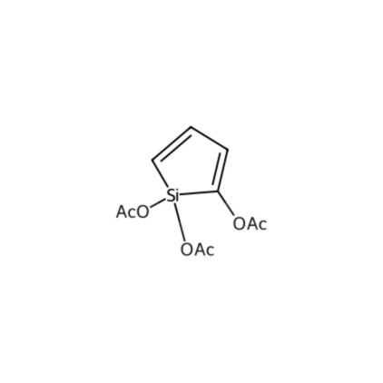 CC(=O)OC1=CC=C[Si]1(OC(C)=O)OC(C)=O